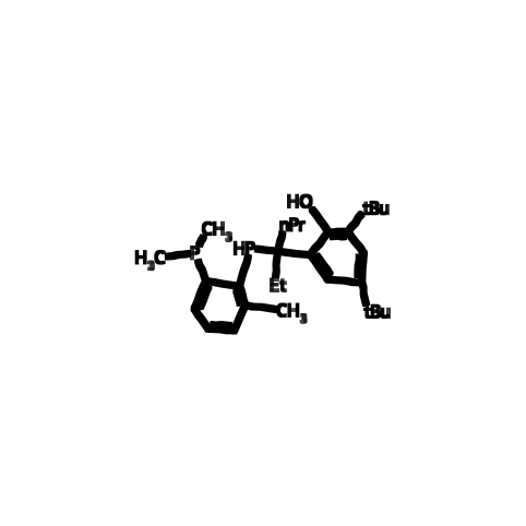 CCCC(CC)(Pc1c(C)cccc1P(C)C)c1cc(C(C)(C)C)cc(C(C)(C)C)c1O